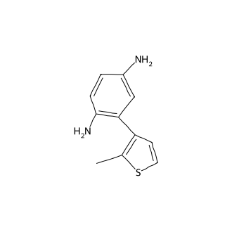 Cc1sccc1-c1cc(N)ccc1N